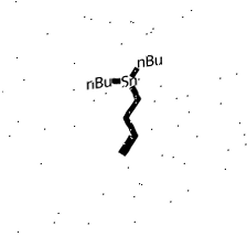 C=CC[CH2][Sn]([CH2]CCC)[CH2]CCC